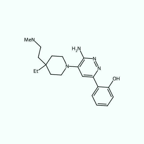 CCC1(CCNC)CCN(c2cc(-c3ccccc3O)nnc2N)CC1